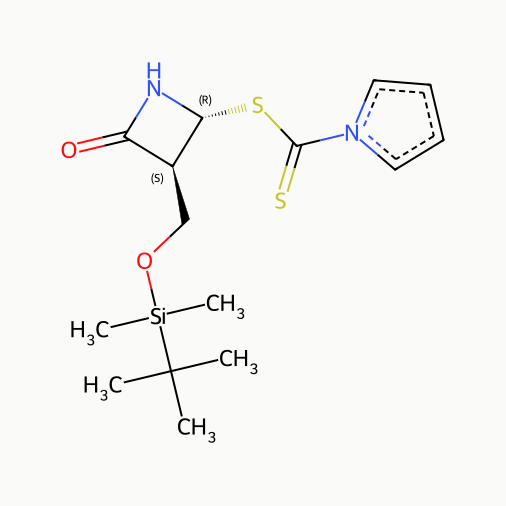 CC(C)(C)[Si](C)(C)OC[C@H]1C(=O)N[C@@H]1SC(=S)n1cccc1